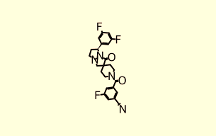 N#Cc1cc(F)cc(C(=O)N2CCC3(CC2)CN2CC[C@@H](c4cc(F)cc(F)c4)N2C3=O)c1